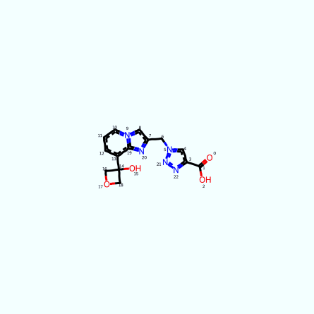 O=C(O)c1cn(Cc2cn3cccc(C4(O)COC4)c3n2)nn1